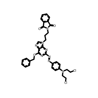 O=C1c2ccccc2C(=O)N1CCCn1cnc2c(OCc3ccccc3)nc(/N=N/c3ccc(N(CCCl)CCCl)cc3)nc21